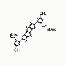 CCCCCCCCCCCCc1cc(C)sc1-c1cc2c(s1)sc1c3cc(-c4sc(C)cc4CCCCCCCCCCCC)sc3sc21